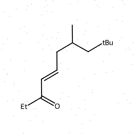 CCC(=O)/C=C/CC(C)CC(C)(C)C